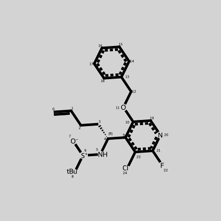 C=CCC[C@@H](N[S+]([O-])C(C)(C)C)c1c(OCc2ccccc2)cnc(F)c1Cl